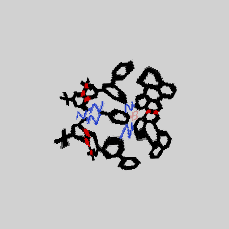 CC(C)(C)c1cc(-c2nc(-c3cc(C(C)(C)C)cc(C(C)(C)C)c3)nc(-c3cc4c5c(c3)N(c3cc(-c6ccccc6)cc(-c6ccccc6)c3)c3cc6c7cccc8cccc(c9cccc(c3B5c3c(cc5c%10cccc%11cccc(c%12cccc3c%125)c%11%10)N4c3cc(-c4ccccc4)cc(-c4ccccc4)c3)c96)c87)n2)cc(C(C)(C)C)c1